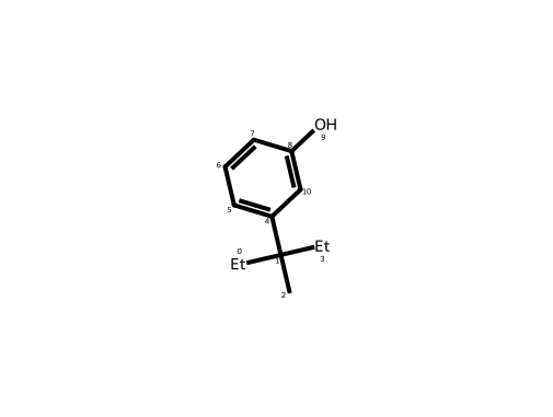 CCC(C)(CC)c1cccc(O)c1